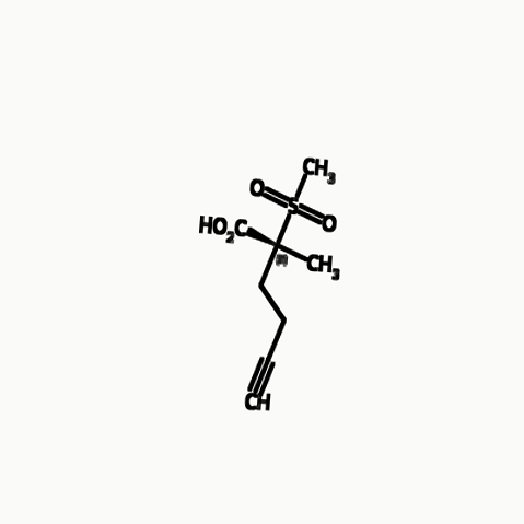 C#CCC[C@](C)(C(=O)O)S(C)(=O)=O